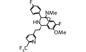 CNC(=O)C(N[C@H](CCc1ccc(C(F)(F)F)nc1)c1ccc(F)c(OC)c1)c1ccc(F)cc1